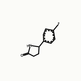 O=C1CCC(c2ccc(F)cc2)N1